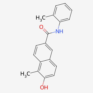 Cc1ccccc1NC(=O)c1ccc2c(C)c(O)ccc2c1